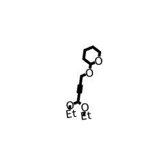 CCOC(C#CCOC1CCCCO1)OCC